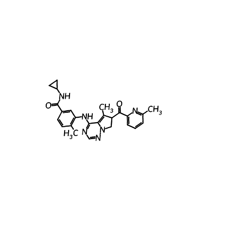 CC1=C2C(Nc3cc(C(=O)NC4CC4)ccc3C)=NC=NN2CC1C(=O)c1cccc(C)n1